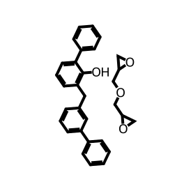 C(OCC1CO1)C1CO1.Oc1c(Cc2cccc(-c3ccccc3)c2)cccc1-c1ccccc1